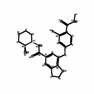 CNC(=O)c1ccc(Cc2cc(C(=O)N[C@H]3CCOC[C@@H]3O)nc3c2OCC3)cc1F